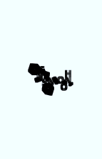 CC[n+]1c(C=C2Sc3ccccc3N2CCOC(=O)NC)sc2ccccc21